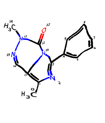 Cc1nc(-c2ccccc2)n2c(=O)n(C)ncc12